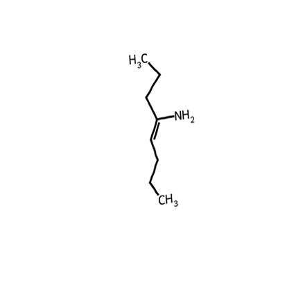 CCCC=C(N)CCC